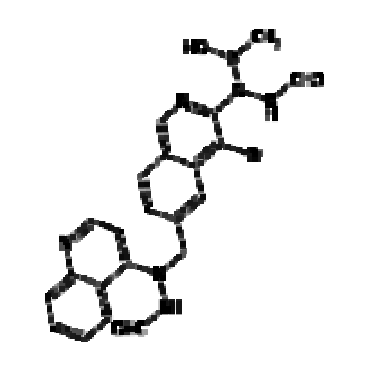 CB(O)N(BC=O)c1ncc2ccc(CN(BC=O)c3ccnc4ccccc34)cc2c1Br